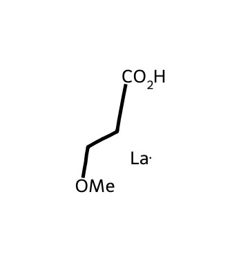 COCCC(=O)O.[La]